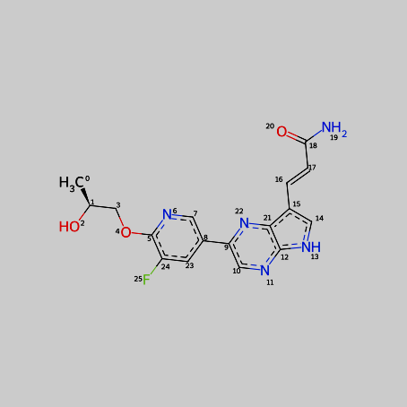 C[C@H](O)COc1ncc(-c2cnc3[nH]cc(C=CC(N)=O)c3n2)cc1F